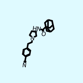 N#Cc1ccc(CCN2CC[C@H](NC(=O)C34CC5CC(CC(C5)C3)C4)C2)cc1